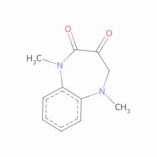 CN1CC(=O)C(=O)N(C)c2ccccc21